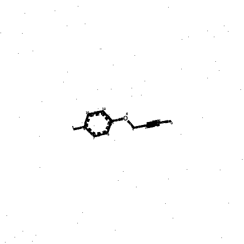 CC#CCOc1ccc(C)cc1